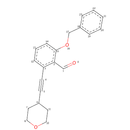 O=Cc1c(C#CC2CCOCC2)cccc1OCc1ccccc1